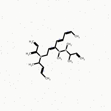 C=CC(=C)N(C/C=C(/C=C/C=C\C)N(C)N(C)C(C)C=C)C(C)/C=C/C